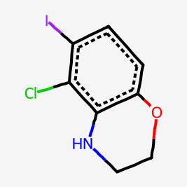 Clc1c(I)ccc2c1NCCO2